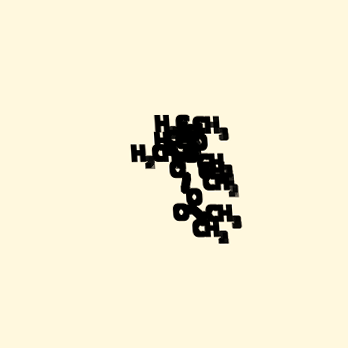 C=C.C=C(C)C(=O)OCCOC(=O)C(=C)C.C[SiH2]O[Si](C)(C)C